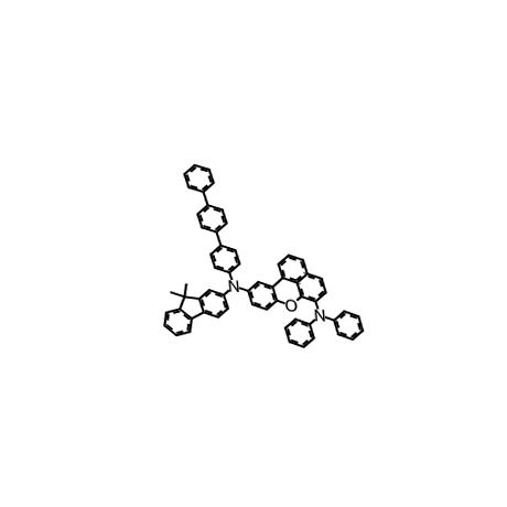 CC1(C)c2ccccc2-c2ccc(N(c3ccc(-c4ccc(-c5ccccc5)cc4)cc3)c3ccc4c(c3)-c3cccc5ccc(N(c6ccccc6)c6ccccc6)c(c35)O4)cc21